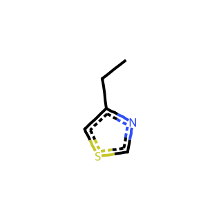 CCc1cscn1